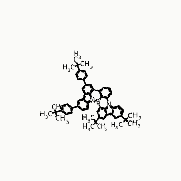 CC(C)(C)c1ccc(-c2ccc3c(c2)c2cc(-c4ccc(C(C)(C)C)cc4)cc4c2n3B2c3c-4cccc3-n3c4ccc(C(C)(C)C)cc4c4cc(C(C)(C)C)cc2c43)cc1